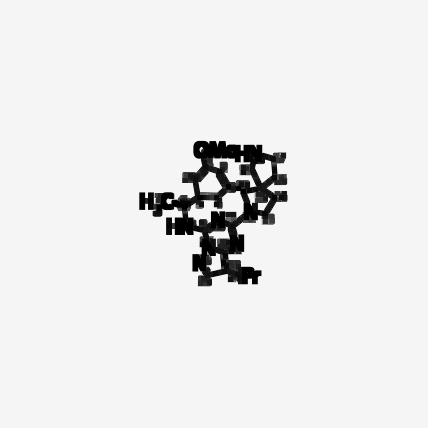 COc1cccc([C@H](C)Nc2nc(N3CCC4(CCNC4)C3)nc3c(C(C)C)cnn23)c1